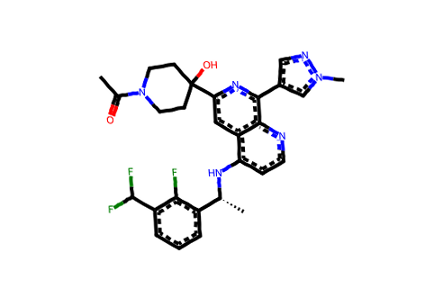 CC(=O)N1CCC(O)(c2cc3c(N[C@H](C)c4cccc(C(F)F)c4F)ccnc3c(-c3cnn(C)c3)n2)CC1